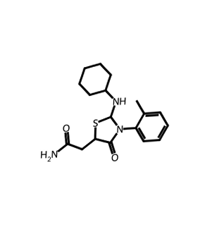 Cc1ccccc1N1C(=O)C(CC(N)=O)SC1NC1CCCCC1